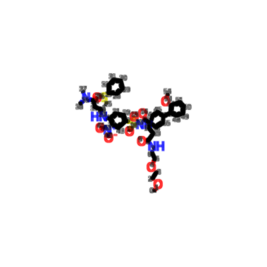 COCCOCCNC(=O)CCC1(C(=O)NS(=O)(=O)c2ccc(N[C@@H](CSc3ccccc3)CC(=O)N(C)C)c([N+](=O)[O-])c2)C=CC(c2ccccc2OC)C=C1